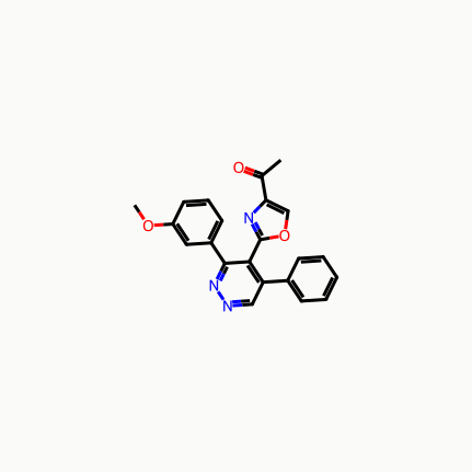 COc1cccc(-c2nncc(-c3ccccc3)c2-c2nc(C(C)=O)co2)c1